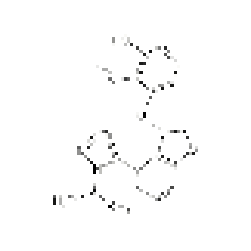 CC(C)n1nccc1-c1nccc2c1[C@H](Oc1cccc(O)c1C=O)CO2